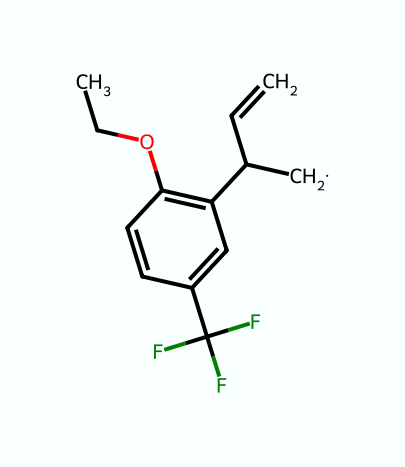 [CH2]C(C=C)c1cc(C(F)(F)F)ccc1OCC